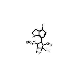 CCOC(=O)C1OC(C)(C(F)(F)F)C(C)C1c1ccc(F)c2c1OCC2